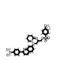 CCN(CC)c1ccc(-c2ccc3ccc(OCC(COS(=O)(=O)c4ccc(C)cc4)OC4CCCCO4)cc3n2)cc1